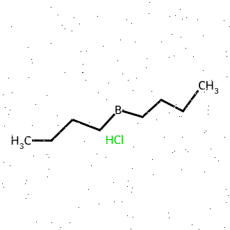 CCCC[B]CCCC.Cl